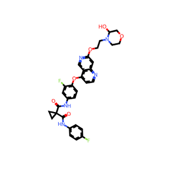 O=C(Nc1ccc(F)cc1)C1(C(=O)Nc2ccc(Oc3ccnc4cc(OCCN5CCOCC5O)ncc34)c(F)c2)CC1